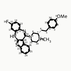 COc1ccc(CC[C@H]2CN(C3=Nc4ccc(F)cc4Nc4sc5ccccc5c43)CCN2C)cc1